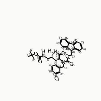 CC(C)(C)OC(=O)NCCC[C@@H](C(N)=O)N(Cc1cccc(Cl)c1)C(=O)OCC1c2ccccc2-c2ccccc21